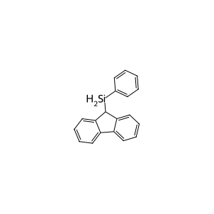 c1ccc([SiH2]C2c3ccccc3-c3ccccc32)cc1